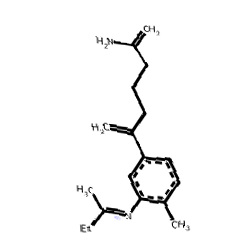 C=C(N)CCCC(=C)c1ccc(C)c(/N=C(\C)CC)c1